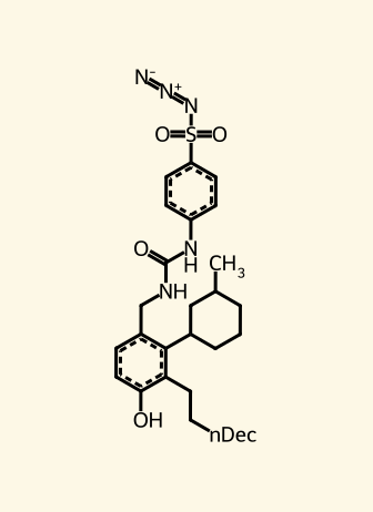 CCCCCCCCCCCCc1c(O)ccc(CNC(=O)Nc2ccc(S(=O)(=O)N=[N+]=[N-])cc2)c1C1CCCC(C)C1